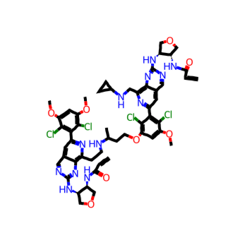 C=CC(=O)N[C@H]1COC[C@H]1Nc1ncc2cc(-c3c(Cl)c(OC)cc(OC)c3Cl)nc(CCNC(C)CCOc3cc(OC)c(Cl)c(-c4cc5cnc(N[C@@H]6COC[C@@H]6NC(=O)C=C)nc5c(CNC5CC5)n4)c3Cl)c2n1